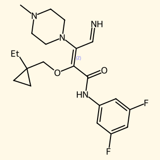 CCC1(CO/C(C(=O)Nc2cc(F)cc(F)c2)=C(/C=N)N2CCN(C)CC2)CC1